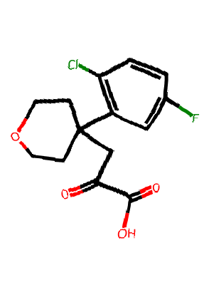 O=C(O)C(=O)CC1(c2cc(F)ccc2Cl)CCOCC1